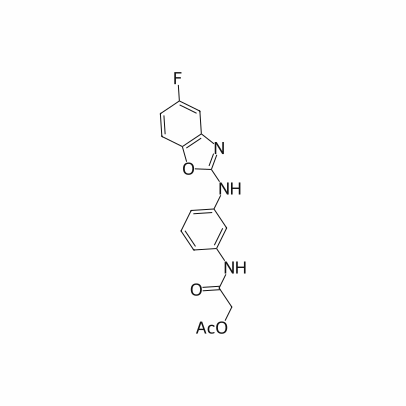 CC(=O)OCC(=O)Nc1cccc(Nc2nc3cc(F)ccc3o2)c1